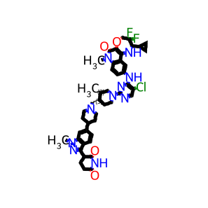 C[C@@H]1CN(c2ncc(Cl)c(Nc3ccc4c(c3)c3c(c(=O)n4C)OCC(F)(F)C(C4CC4)N3)n2)CC[C@@H]1CN1CCC(c2ccc3c(C4CCC(=O)NC4=O)nn(C)c3c2)CC1